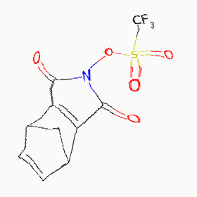 O=C1C2=C(C(=O)N1OS(=O)(=O)C(F)(F)F)C1C=CC2C1